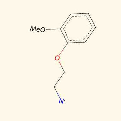 COc1ccccc1OCC[N]